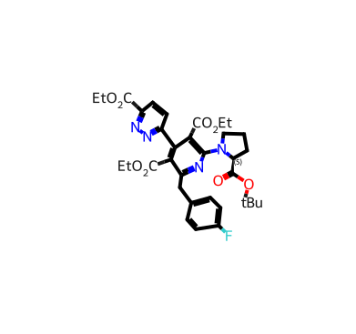 CCOC(=O)c1ccc(-c2c(C(=O)OCC)c(Cc3ccc(F)cc3)nc(N3CCC[C@H]3C(=O)OC(C)(C)C)c2C(=O)OCC)nn1